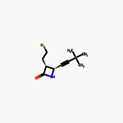 C[Si](C)(C)C#C[C@@H]1NC(=O)[C@@H]1CCBr